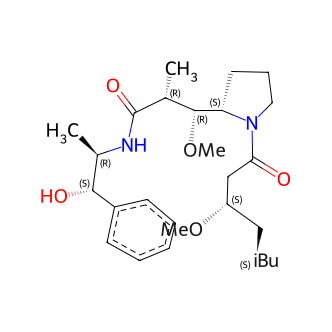 CC[C@H](C)C[C@@H](CC(=O)N1CCC[C@H]1[C@H](OC)[C@@H](C)C(=O)N[C@H](C)[C@@H](O)c1ccccc1)OC